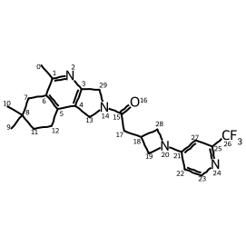 Cc1nc2c(c3c1CC(C)(C)CC3)CN(C(=O)CC1CN(c3ccnc(C(F)(F)F)c3)C1)C2